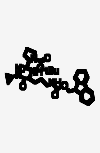 CC(C)(C)OC(=O)N1CCCC1C(=O)NC(CCCNC(=O)OCC1c2ccccc2-c2ccccc21)C(=O)NC1CC1